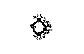 O=[N+]([O-])C1=C([N+](=O)[O-])c2nc1c([N+](=O)[O-])c1[nH]c(cc3nc(cc4[nH]c(c2[N+](=O)[O-])c([N+](=O)[O-])c4[N+](=O)[O-])C=C3)c([N+](=O)[O-])c1[N+](=O)[O-]